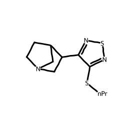 CCCSc1nsnc1C1CN2CCC1C2